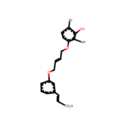 CCCc1c(OC/C=C/COc2cccc(/C=C/C(=O)O)c2)ccc(C(C)=O)c1O